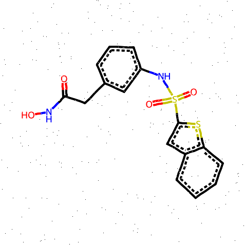 O=C(Cc1cccc(NS(=O)(=O)c2cc3ccccc3s2)c1)NO